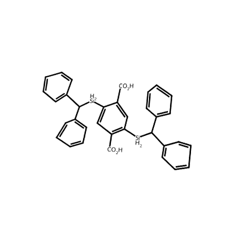 O=C(O)c1cc([SiH2]C(c2ccccc2)c2ccccc2)c(C(=O)O)cc1[SiH2]C(c1ccccc1)c1ccccc1